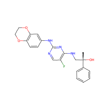 C[C@](O)(CNc1nc(Nc2ccc3c(c2)OCCO3)ncc1F)c1ccccc1